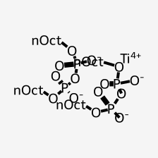 CCCCCCCCOP(=O)([O-])OP(=O)([O-])OCCCCCCCC.CCCCCCCCOP(=O)([O-])OP(=O)([O-])OCCCCCCCC.[Ti+4]